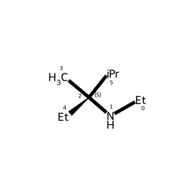 CCN[C@@](C)(CC)C(C)C